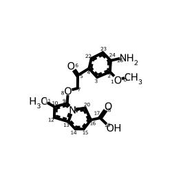 COc1cc(C(=O)COc2c(C)cc3ccc(C(=O)O)cn23)ccc1N